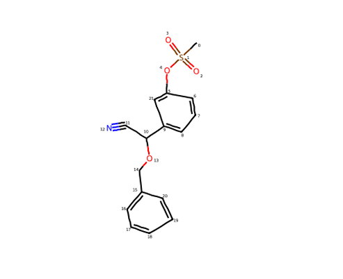 CS(=O)(=O)Oc1cccc(C(C#N)OCc2ccccc2)c1